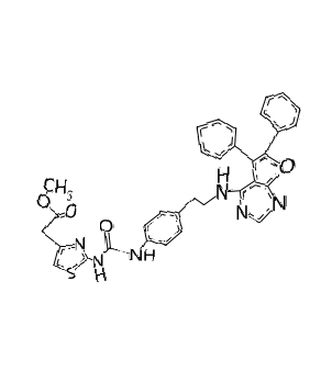 COC(=O)Cc1csc(NC(=O)Nc2ccc(CCNc3ncnc4oc(-c5ccccc5)c(-c5ccccc5)c34)cc2)n1